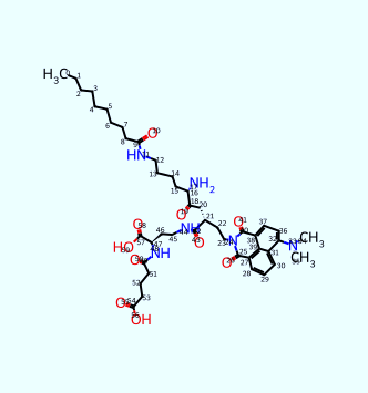 CCCCCCCCCC(=O)NCCCC[C@H](N)C(=O)C[C@H](CCN1C(=O)c2cccc3c(N(C)C)ccc(c23)C1=O)C(=O)NCC[C@@H](NC(=O)CCCC(=O)O)C(=O)O